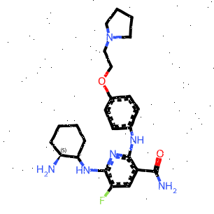 NC(=O)c1cc(F)c(NC2CCCC[C@@H]2N)nc1Nc1ccc(OCCN2CCCC2)cc1